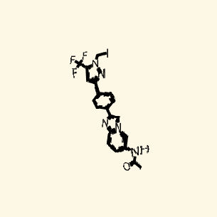 CC(=O)Nc1ccc2nc(-c3ccc(-c4cc(C(F)(F)F)n(CI)n4)cc3)cn2c1